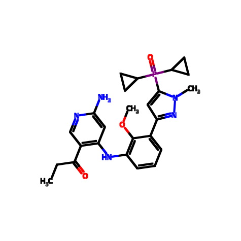 CCC(=O)c1cnc(N)cc1Nc1cccc(-c2cc(P(=O)(C3CC3)C3CC3)n(C)n2)c1OC